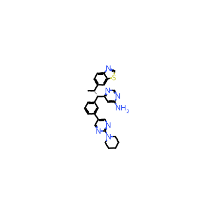 CC(c1ccc2ncsc2c1)[C@@H](c1cccc(-c2cnc(N3CCCCC3)nc2)c1)c1cc(N)ncn1